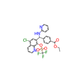 CCOC(=O)c1ccc(C(Nc2ccccn2)c2cc(Cl)c3cccnc3c2OS(=O)(=O)C(F)(F)F)cc1